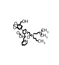 CCCCN(CCCN(C)C)C(=O)CN1C[C@H](c2cc(CO)c3c(c2)OCO3)[C@@H](C(=O)O)[C@@H]1CCc1ccccn1